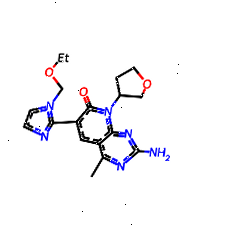 CCOCn1ccnc1-c1cc2c(C)nc(N)nc2n(C2CCOC2)c1=O